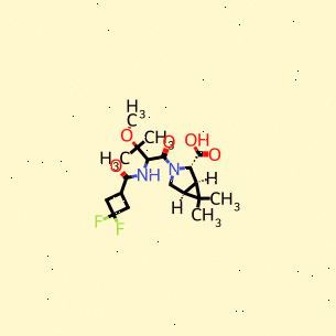 COC(C)(C)C(NC(=O)C1CC(F)(F)C1)C(=O)N1C[C@H]2[C@@H]([C@H]1C(=O)O)C2(C)C